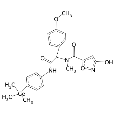 COc1ccc(C(C(=O)Nc2cc[c]([Ge]([CH3])([CH3])[CH3])cc2)N(C)C(=O)c2cc(O)no2)cc1